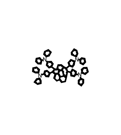 C1=C2CC=c3c(-c4ccc(N(c5ccccc5)c5ccccc5)cc4)c(-c4ccc(N(c5ccccc5)c5ccccc5)cc4)c4ccc5c(-c6ccc(N(c7ccccc7)c7ccccc7)cc6)c(-c6ccc(N(c7ccccc7)c7ccccc7)cc6)c(c6c5c4c3=C26)C1